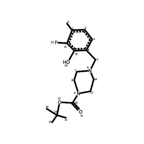 Cc1ccc(CN2CCN(C(=O)OC(C)(C)C)CC2)c(O)c1F